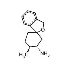 C[C@H]1CCC2(C[C@@H]1N)OCc1ccccc12